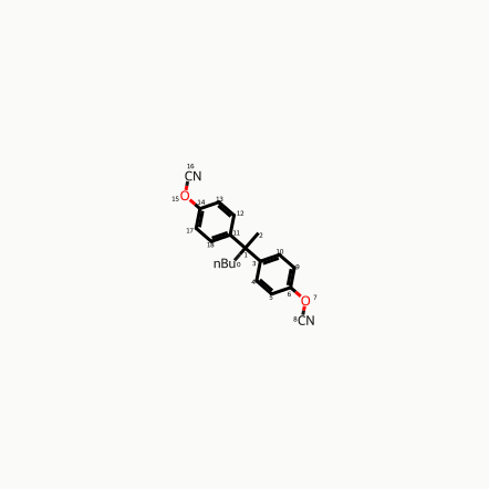 CCCCC(C)(c1ccc(OC#N)cc1)c1ccc(OC#N)cc1